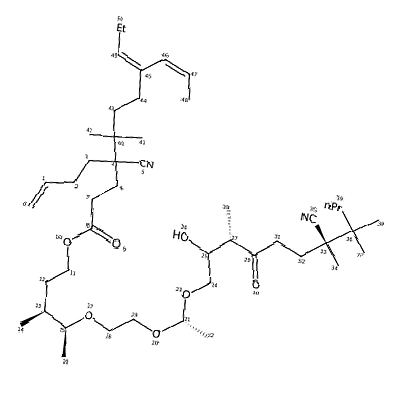 C=CCCC(C#N)(CCC(=O)OCC[C@H](C)[C@H](C)OCCO[C@@H](C)OCC(O)[C@H](C)C(=O)CC[C@](C)(C#N)C(C)(C)CCC)C(C)(C)CCC(/C=C\C)=C/CC